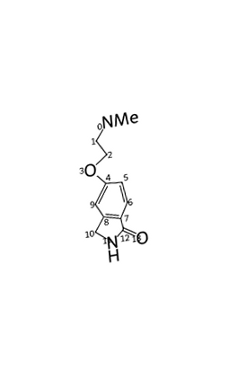 CNCCOc1ccc2c(c1)CNC2=O